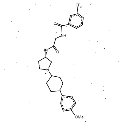 COc1ccc(N2CCC(N3CC[C@@H](NC(=O)CNC(=O)c4cccc(C(F)(F)F)c4)C3)CC2)cc1